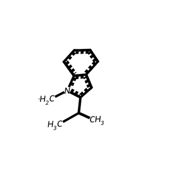 [CH2]n1c(C(C)C)cc2ccccc21